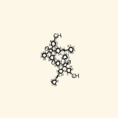 C#Cc1ccc(C2=C(c3ccc(C#Cc4ccccc4)cc3)C(c3ccc(Oc4ccc(C5=C(c6ccccc6)C(=O)C(c6ccc(C#C)cc6)=C5c5ccc(C#Cc6ccccc6)cc5)cc4)cc3)=C(c3ccccc3)C2=O)cc1